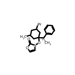 CC1CC(C(C)C)CC(On2ccoc2=O)([C@@H](C)c2ccccc2)C1